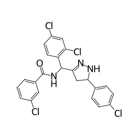 O=C(NC(C1=NNC(c2ccc(Cl)cc2)C1)c1ccc(Cl)cc1Cl)c1cccc(Cl)c1